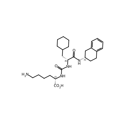 NCCCC[C@H](NC(=O)N[C@H](CC1CCCCC1)C(=O)N[C@H]1CCc2ccccc2C1)C(=O)O